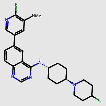 CNc1cc(-c2ccc3ncnc(N[C@H]4CC[C@H](N5CCC(F)CC5)CC4)c3c2)cnc1F